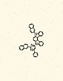 c1ccc(-c2cc(-n3c4ccccc4c4c5c6ccccc6n(-c6ccc7ccccc7c6)c5ccc43)nc(-c3ccc4ccccc4c3)n2)cc1